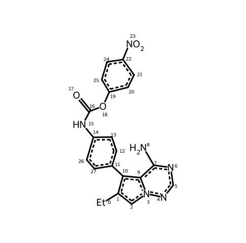 [CH2]Cc1cn2ncnc(N)c2c1-c1ccc(NC(=O)Oc2ccc([N+](=O)[O-])cc2)cc1